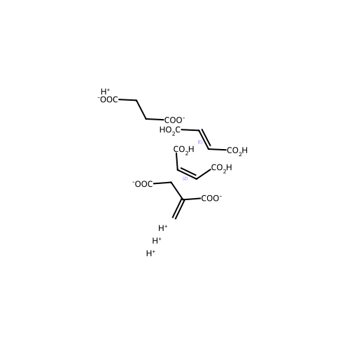 C=C(CC(=O)[O-])C(=O)[O-].O=C(O)/C=C/C(=O)O.O=C(O)/C=C\C(=O)O.O=C([O-])CCC(=O)[O-].[H+].[H+].[H+].[H+]